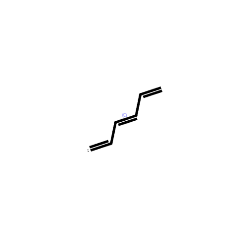 [C]=C/C=C/C=C